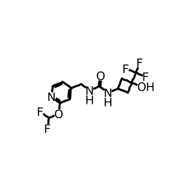 O=C(NCc1ccnc(OC(F)F)c1)NC1CC(O)(C(F)(F)F)C1